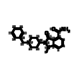 Cn1c2cccc(C(N)=O)c2c(=O)n1C1CCN(Cc2ccccc2)CC1